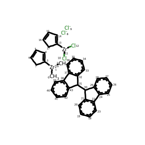 [CH3][Zr+2]([CH3])[C]1=CC=CC1.[Cl-].[Cl-].[Cl][Zr]([Cl])[C]1=CC=CC1.c1ccc2c(c1)-c1ccccc1C2C1c2ccccc2-c2ccccc21